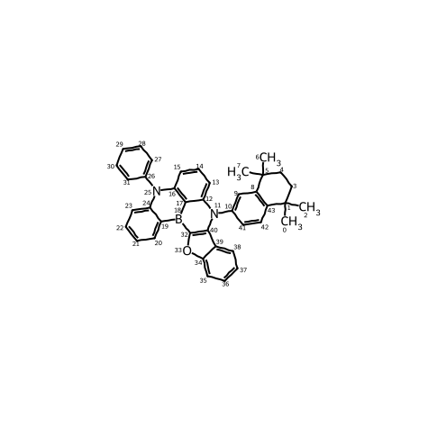 CC1(C)CCC(C)(C)c2cc(N3c4cccc5c4B(c4ccccc4N5c4ccccc4)c4oc5ccccc5c43)ccc21